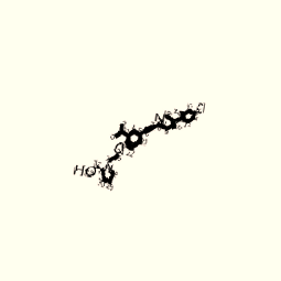 C=C(C)c1cc(C#Cc2ccc(-c3ccc(Cl)cc3)cn2)ccc1OCCN1CCC[C@H]1CO